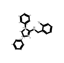 Fc1ccccc1CNC1=N[C@H](c2ccccc2)CN1c1ccccc1